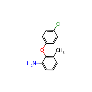 Cc1cccc(N)c1Oc1ccc(Cl)cc1